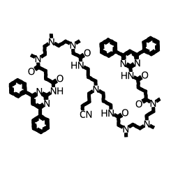 CN(CCN(C)CC(=O)NCCCN(CCCC#N)CCCNC(=O)CN(C)CCN(C)CCN(C)C(=O)CCC(=O)Nc1nc(-c2ccccc2)cc(-c2ccccc2)n1)CCN(C)C(=O)CCC(=O)Nc1nc(-c2ccccc2)cc(-c2ccccc2)n1